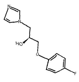 O[C@H](COc1ccc(F)cc1)Cn1ccnc1